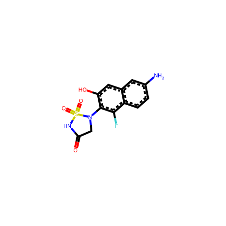 Nc1ccc2c(F)c(N3CC(=O)NS3(=O)=O)c(O)cc2c1